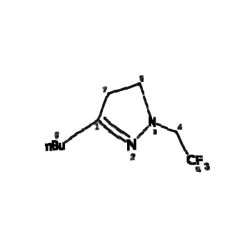 CCCCC1=NN(CC(F)(F)F)CC1